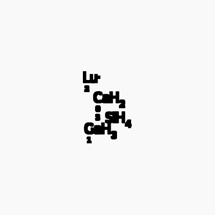 [CaH2].[GaH3].[Lu].[SiH4]